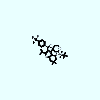 C=C(C)c1nc2c(c3c1[C@@H](c1ccc(C(F)(F)F)cc1)OC31CCOCC1)C(O[Si](C)(C)C(C)(C)C)CC(C)(C)C2